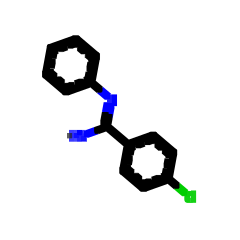 [NH]C(=Nc1ccccc1)c1ccc(Cl)cc1